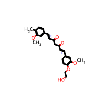 [CH2]c1ccc(/C=C/C(=O)CC(=O)/C=C/c2ccc(OCCO)c(OC)c2)cc1OC